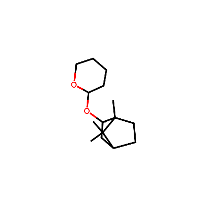 CC12CCC(C[C]1OC1CCCCO1)C2(C)C